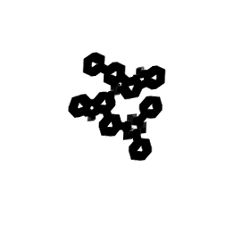 c1ccc(-c2ccc3c4c5sc6ccccc6c5ccc4n(-c4cc(-c5cccc(-c6nc(-c7ccccc7)nc(-c7ccccc7)n6)c5)c5sc6ccccc6c5c4)c3c2)cc1